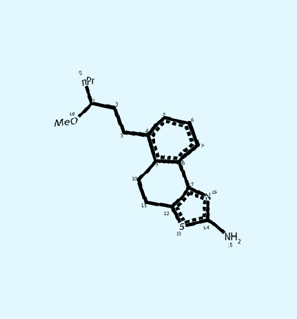 CCCC(CCc1cccc2c1CCc1sc(N)nc1-2)OC